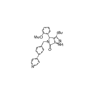 COc1ccccc1C1c2c(C(C)(C)C)n[nH]c2C(=O)N1Cc1ccc(-c2ccncc2)cc1